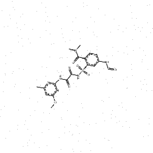 COc1cc(C)nc(NC(=O)C(=O)NS(=O)(=O)c2cc(NC=O)ccc2C(=O)N(C)C)n1